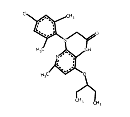 CCC(CC)Oc1cc(C)nc2c1NC(=O)CN2c1c(C)cc(Cl)cc1C